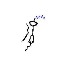 CCCCCC.CCCCc1ccc(C#Cc2ccc(CN)cc2)cc1